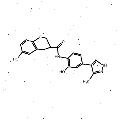 Cc1n[nH]cc1-c1ccc(NC(=O)C2COc3ccc(O)cc3C2)c(O)c1